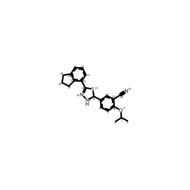 CC(C)Oc1ccc(C2NN=C(c3cccc4c3CCC4)S2)cc1C#N